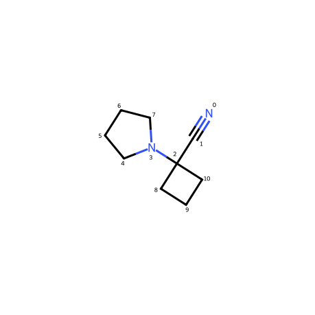 N#CC1(N2CCCC2)CCC1